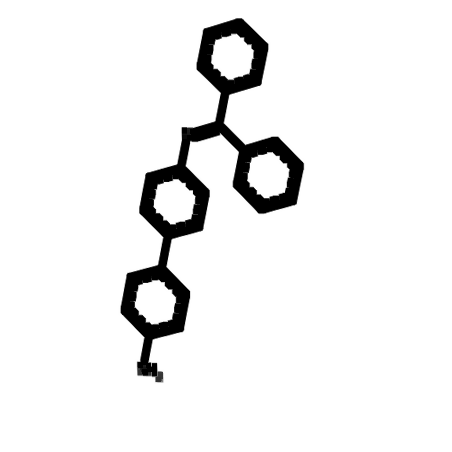 Nc1ccc(-c2ccc(N=C(c3ccccc3)c3ccccc3)cc2)cc1